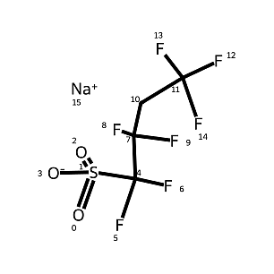 O=S(=O)([O-])C(F)(F)C(F)(F)CC(F)(F)F.[Na+]